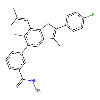 C=C(NC(C)(C)C)c1cccc(-c2cc3c(c(C=C(C)C)c2C)CC(c2ccc(F)cc2)=C3C)c1